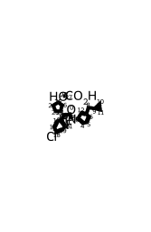 O=C(Nc1cccc(CC2CC2)c1)[C@H](c1ccc(Cl)cc1F)C1CCCC1.O=C(O)O